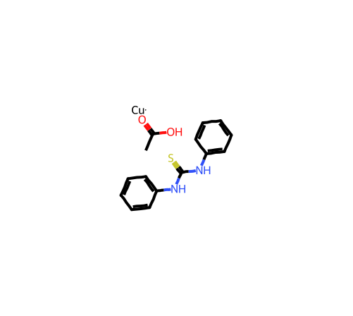 CC(=O)O.S=C(Nc1ccccc1)Nc1ccccc1.[Cu]